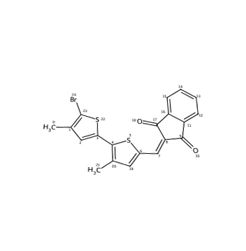 Cc1cc(-c2sc(C=C3C(=O)c4ccccc4C3=O)cc2C)sc1Br